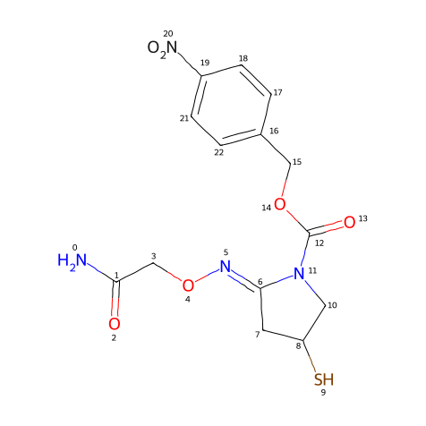 NC(=O)CON=C1CC(S)CN1C(=O)OCc1ccc([N+](=O)[O-])cc1